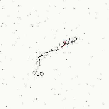 C[C@]12C=CC(=O)C=C1CC[C@@H]1[C@@H]2[C@@H](O)C[C@@]2(C)[C@H]1C[C@H]1O[C@H](C34CC(Cc5cccc(NC(=O)OCc6ccc(NC(=O)[C@H](CCC(=O)O)NC(=O)CNC(=O)CCC(=O)N7Cc8ccccc8C#Cc8ccccc87)cc6)c5)(C3)C4)O[C@]12C(=O)CO